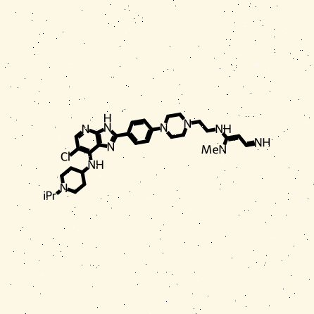 CN/C(=C\C=N)NCCN1CCN(c2ccc(-c3nc4c(NC5CCN(C(C)C)CC5)c(Cl)cnc4[nH]3)cc2)CC1